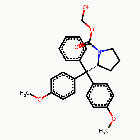 COc1ccc(C(c2ccccc2)(c2ccc(OC)cc2)[C@H]2CCCN2C(=O)OCO)cc1